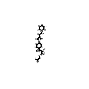 CC(C)=CC[C@H]1O[C@@]1(C)C1OC12CCC(N1CC(CCN3CCCCC3)C1)CC2